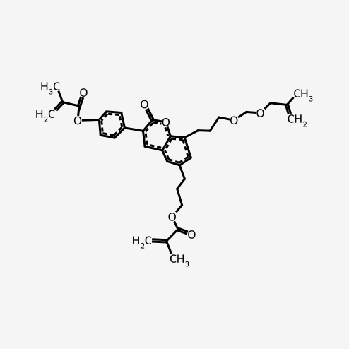 C=C(C)COCOCCCc1cc(CCCOC(=O)C(=C)C)cc2cc(-c3ccc(OC(=O)C(=C)C)cc3)c(=O)oc12